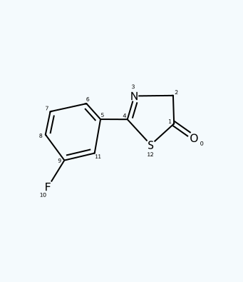 O=C1CN=C(c2cccc(F)c2)S1